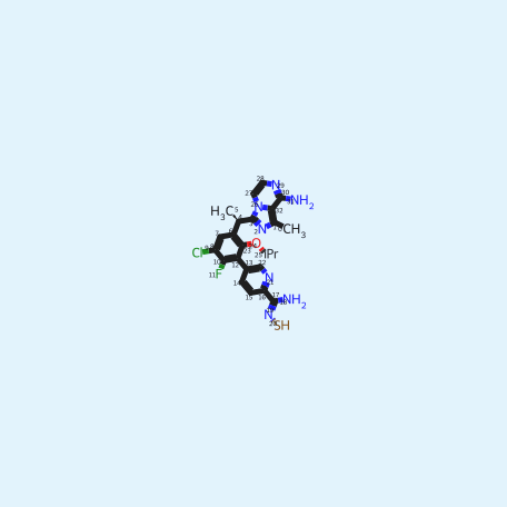 Cc1nc([C@@H](C)c2cc(Cl)c(F)c(-c3ccc(/C(N)=N/S)nc3)c2OC(C)C)n2ccnc(N)c12